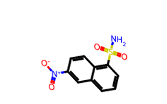 NS(=O)(=O)c1cccc2cc([N+](=O)[O-])ccc12